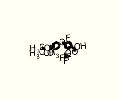 CC(C)(C)OC(=O)N1CCC(Oc2cc(OCC(F)(F)F)c(C(=O)O)cc2F)CC1